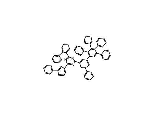 c1ccc(-c2cccc(-c3nc(-c4cc(-c5ccccc5)cc(-c5cc(-c6ccccc6)c(-c6ccccc6)c(-c6ccccc6)c5-c5ccccc5)c4)nc(-c4ccccc4-c4ccccc4)n3)c2)cc1